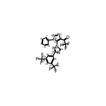 O=C(c1nnn(-c2ccccc2)c1-n1cnc(-c2cc(C(F)(F)F)cc(C(F)(F)F)c2)n1)C(F)(F)F